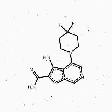 NC(=O)c1sc2cncc(N3CCC(F)(F)CC3)c2c1N